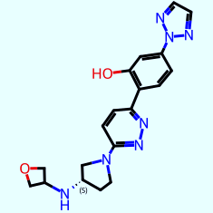 Oc1cc(-n2nccn2)ccc1-c1ccc(N2CC[C@H](NC3COC3)C2)nn1